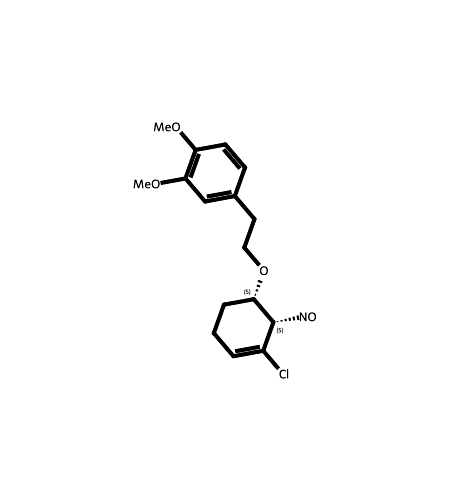 COc1ccc(CCO[C@H]2CCC=C(Cl)[C@H]2N=O)cc1OC